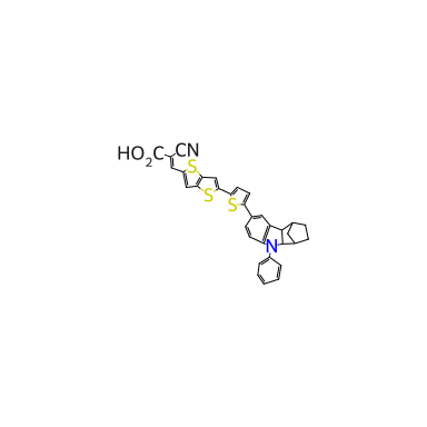 N#C/C(=C\c1cc2sc(-c3ccc(-c4ccc5c(c4)C4C6CCC(C6)C4N5c4ccccc4)s3)cc2s1)C(=O)O